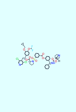 O=C(N[C@@H](c1ccccc1)c1cccc(OC(=O)c2cccc(S(=O)(=O)N3CCC[C@H]3C(=O)O[C@@H](Cc3c(Cl)cncc3Cl)c3ccc(OC(F)F)c(OCC4CC4)c3)c2)c1)O[C@H]1CN2CCC1CC2